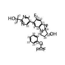 CC(C)(O)c1ncc(-c2cc3c(cc2F)nc2n3[C@@H](c3ccccc3OC(F)F)C[C@H]2O)cn1